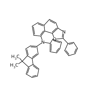 CC1(C)c2ccccc2-c2cc(N(c3ccccc3)c3cccc4ccc5nc(-c6ccccc6)oc5c34)ccc21